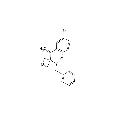 C=C1c2cc(Br)ccc2OC(Cc2ccccc2)C12COC2